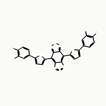 O=[N+]([O-])c1ccc(-c2ccc(-c3c4c(c(-c5ccc(-c6ccc([N+](=O)[O-])c(F)c6)s5)c5nsnc35)N=S=N4)s2)cc1F